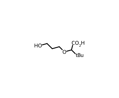 CC(C)(C)C(OCCCO)C(=O)O